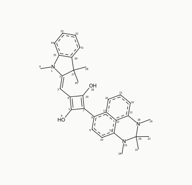 CN1C(=CC2=C(O)C(c3ccc4c5c(cccc35)N(C)C(C)(C)N4C)=C2O)C(C)(C)c2ccccc21